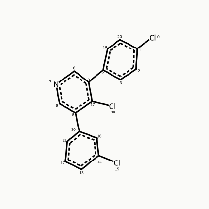 Clc1ccc(-c2cncc(-c3cccc(Cl)c3)c2Cl)cc1